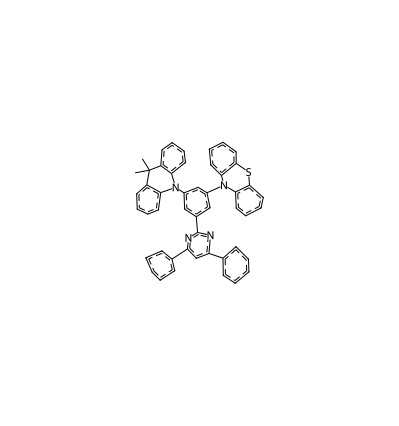 CC1(C)c2ccccc2N(c2cc(-c3nc(-c4ccccc4)cc(-c4ccccc4)n3)cc(N3c4ccccc4Sc4ccccc43)c2)c2ccccc21